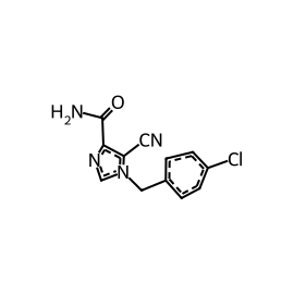 N#Cc1c(C(N)=O)ncn1Cc1ccc(Cl)cc1